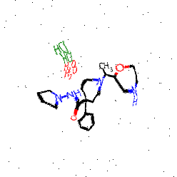 CC(C1CNCCO1)N1CCC(C(=O)NN2CCCC2)(c2ccccc2)CC1.Cl.Cl.O.O